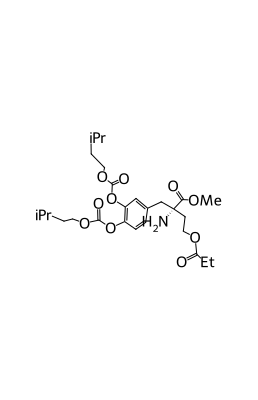 CCC(=O)OCC[C@@](N)(Cc1ccc(OC(=O)OCCC(C)C)c(OC(=O)OCCC(C)C)c1)C(=O)OC